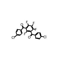 O=C(c1ccc(Cl)cc1)c1c(F)c(F)c(F)c(C(=O)c2ccc(Cl)cc2)c1F